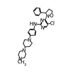 CN1CCN(C2CCN(c3ccc(Nc4ncc(Cl)c(N5OCCC5c5ccccc5)n4)cc3)CC2)CC1